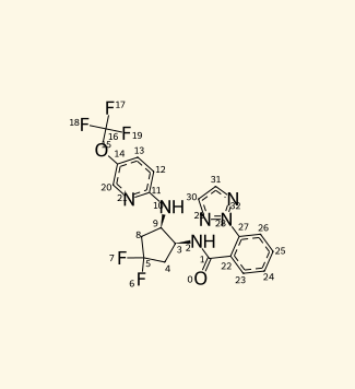 O=C(N[C@H]1CC(F)(F)C[C@H]1Nc1ccc(OC(F)(F)F)cn1)c1ccccc1-n1nccn1